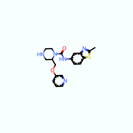 Cc1nc2cc(NC(=O)N3CCNCC3COc3cccnc3)ccc2s1